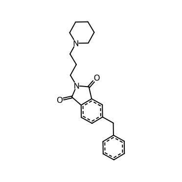 O=C1c2ccc(Cc3ccccc3)cc2C(=O)N1CCCN1CCCCC1